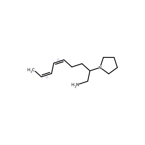 C/C=C\C=C/CCC(CN)N1CCCC1